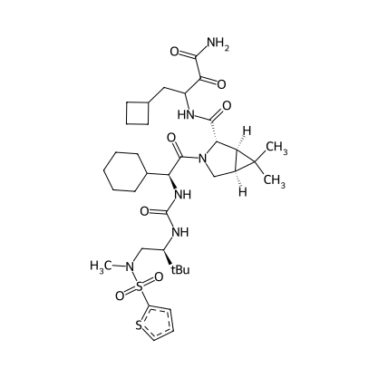 CN(C[C@@H](NC(=O)N[C@H](C(=O)N1C[C@H]2[C@@H]([C@H]1C(=O)NC(CC1CCC1)C(=O)C(N)=O)C2(C)C)C1CCCCC1)C(C)(C)C)S(=O)(=O)c1cccs1